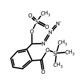 C[Si](C)(C)OC(=O)c1ccccc1C(N=[N+]=[N-])OS(C)(=O)=O